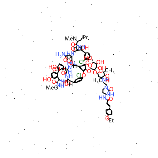 CCOc1ccc(/C=C/C(=O)NC2CCN(CCN[C@@]3(C)C[C@H](O[C@H]4[C@H](Oc5c6cc7cc5Oc5ccc(cc5Cl)[C@@H](O)[C@@H](NC(=O)[C@@H](CC(C)C)NC)C(=O)N[C@@H](CC(N)=O)C(=O)N[C@H]7C(=O)N[C@H]5C(=O)N[C@H](C(=O)N[C@@H](C(=O)NOC)c7cc(O)cc(O)c7-c7cc5ccc7O)[C@H](O)c5ccc(c(Cl)c5)O6)O[C@H](CO)[C@@H](O)[C@@H]4O)O[C@@H](C)[C@H]3O)C(=O)N2)cc1